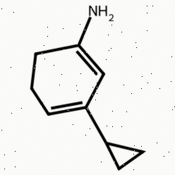 NC1=CC(C2CC2)=CCC1